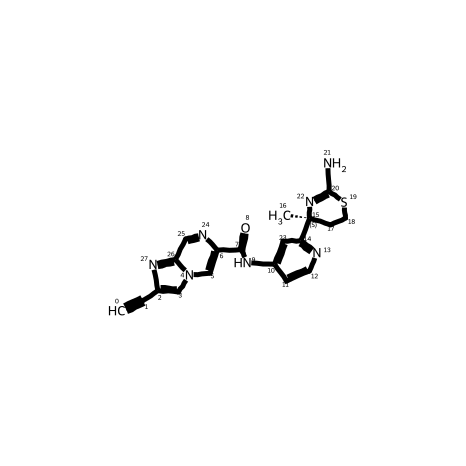 C#Cc1cn2cc(C(=O)Nc3ccnc([C@]4(C)CCSC(N)=N4)c3)ncc2n1